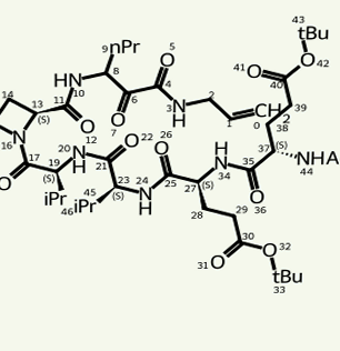 C=CCNC(=O)C(=O)C(CCC)NC(=O)[C@@H]1CCN1C(=O)[C@@H](NC(=O)[C@@H](NC(=O)[C@H](CCC(=O)OC(C)(C)C)NC(=O)[C@H](CCC(=O)OC(C)(C)C)NC(C)=O)C(C)C)C(C)C